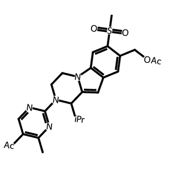 CC(=O)OCc1cc2cc3n(c2cc1S(C)(=O)=O)CCN(c1ncc(C(C)=O)c(C)n1)C3C(C)C